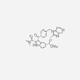 COC(=O)c1ccc2[nH]c(C(=O)N(C)C)c(C(=O)c3ccc(Cn4c(C)nc5cnccc54)cc3)c2c1